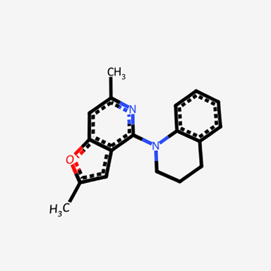 Cc1cc2oc(C)cc2c(N2CCCc3ccccc32)n1